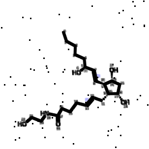 CCCCC[C@H](O)/C=C/[C@@H]1[C@@H](C/C=C/CCCC(=O)NCCO)[C@@H](O)C[C@H]1O